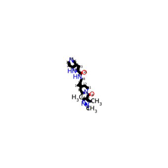 Cc1nn(C)c(C)c1C(=O)N1CCC2(CC1)CC2CNC(=O)c1cc2cnccc2[nH]1